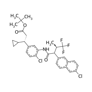 C[C@H](C(C(=O)Nc1cc([C@@H](CC(=O)OC(C)(C)C)C2CC2)ccc1Cl)c1ccc2cc(Cl)ccc2c1)C(F)(F)F